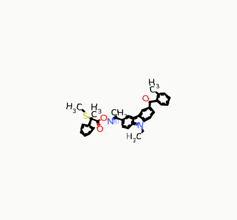 CCSC(C)(C(=O)O/N=C(\C)c1ccc2c(c1)c1cc(C(=O)c3ccccc3C)ccc1n2CC)c1ccccc1